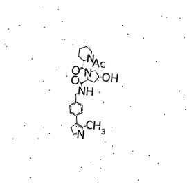 CC(=O)N1CCCC[C@H]1C(=O)N1C[C@H](O)C[C@H]1C(=O)NCc1ccc(C2=C(C)N=CC2)cc1